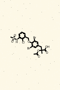 CC(=O)OC(C)(Cc1cc(Br)c(OCc2cccc(NS(C)(=O)=O)c2Cl)c(Br)c1)C(=O)O